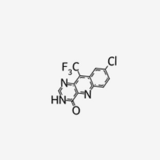 O=c1[nH]cnc2c(C(F)(F)F)c3cc(Cl)ccc3nc12